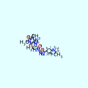 CC1CCCN1c1ccc(-c2nnc(NC(=O)C(C)n3cnc4c3c(=O)n(C)c(=O)n4C)o2)cc1F